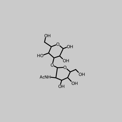 CC(=O)NC1C(OC2C(O)C(O)OC(CO)C2O)OC(CO)C(O)C1O